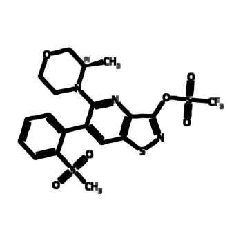 C[C@@H]1COCCN1c1nc2c(OS(=O)(=O)C(F)(F)F)nsc2cc1-c1ccccc1S(C)(=O)=O